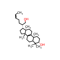 C/C=C\CCC(CO)[C@H]1CC[C@@]2(C)C3=C(CC[C@]12C)[C@@]1(C)CC[C@H](O)C(C)(C)C1CC3